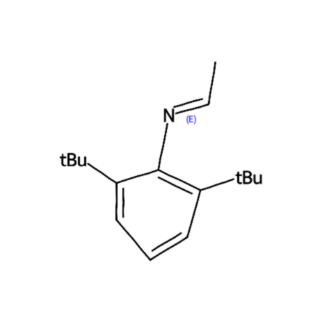 C/C=N/c1c(C(C)(C)C)cccc1C(C)(C)C